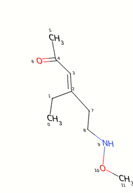 CC/C(=C\C(C)=O)CCNOC